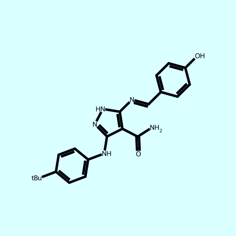 CC(C)(C)c1ccc(Nc2n[nH]c(N=Cc3ccc(O)cc3)c2C(N)=O)cc1